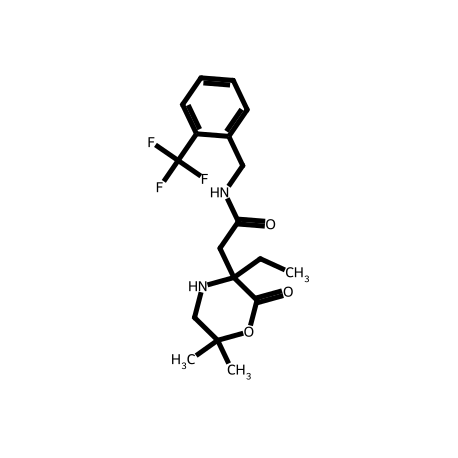 CCC1(CC(=O)NCc2ccccc2C(F)(F)F)NCC(C)(C)OC1=O